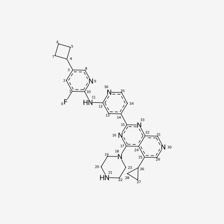 Fc1cc(C2CCC2)cnc1Nc1cc(-c2nc(N3CCNCC3)c3c(C4CC4)cncc3n2)ccn1